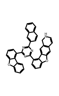 C1=Cc2cc3oc4cccc(-c5nc(-c6ccc7ccccc7c6)nc(-c6cccc7oc8ccccc8c67)n5)c4c3cc2CN1